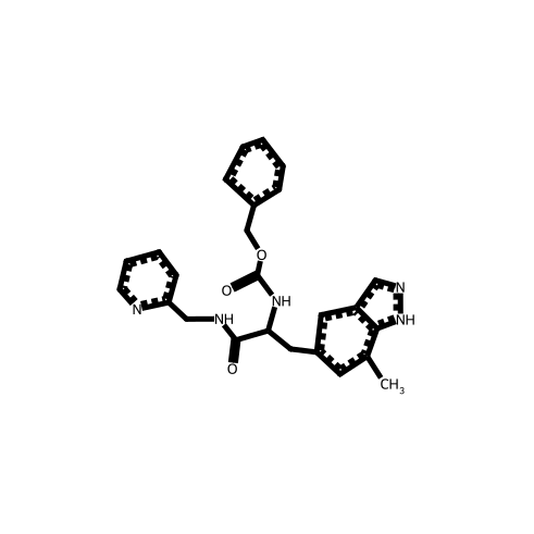 Cc1cc(CC(NC(=O)OCc2ccccc2)C(=O)NCc2ccccn2)cc2cn[nH]c12